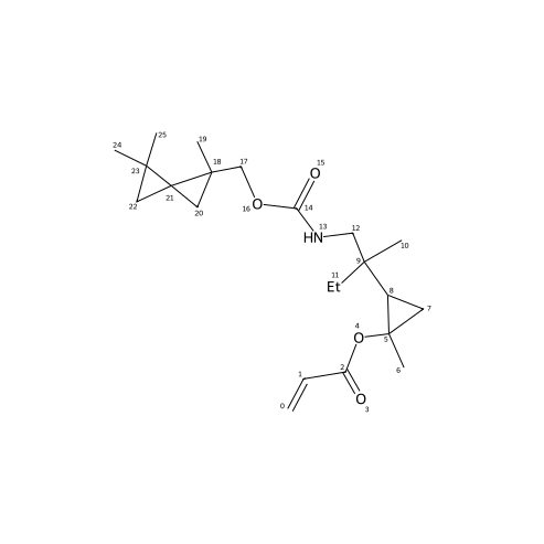 C=CC(=O)OC1(C)CC1C(C)(CC)CNC(=O)OCC1(C)CC12CC2(C)C